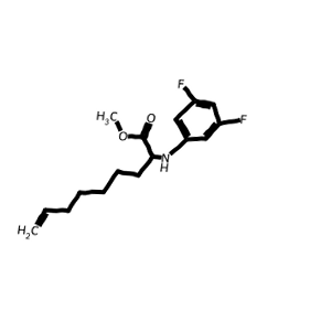 C=CCCCCCC(Nc1cc(F)cc(F)c1)C(=O)OC